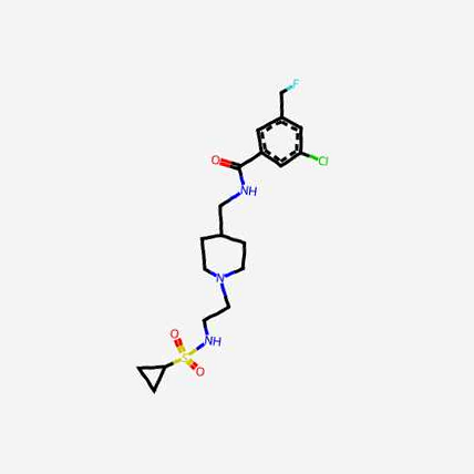 O=C(NCC1CCN(CCNS(=O)(=O)C2CC2)CC1)c1cc(Cl)cc(CF)c1